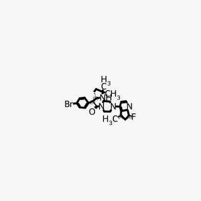 C[C@@H]1C[C@H](F)c2nccc(N3CCN(C(=O)[C@@H](c4ccc(Br)cc4)[C@@H]4CCC(C)(C)N4)CC3)c21